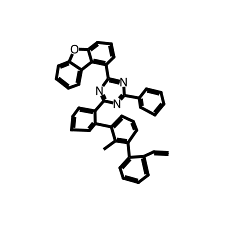 C=Cc1ccccc1-c1cccc(-c2ccccc2-c2nc(-c3ccccc3)nc(-c3cccc4oc5ccccc5c34)n2)c1C